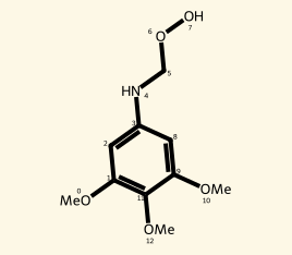 COc1cc(NCOO)cc(OC)c1OC